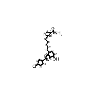 NC(=O)c1c[nH]c(CCCCCc2ccc(O)c3nc(-c4ccc(Cl)cc4)oc23)n1